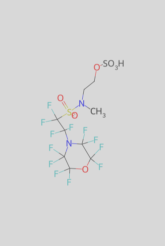 CN(CCOS(=O)(=O)O)S(=O)(=O)C(F)(F)C(F)(F)N1C(F)(F)C(F)(F)OC(F)(F)C1(F)F